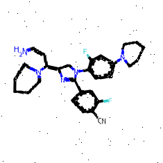 N#Cc1ccc(C2=N/C(=C(/C=C\N)N3CCCCC3)CN2c2ccc(N3CCCCC3)cc2F)cc1F